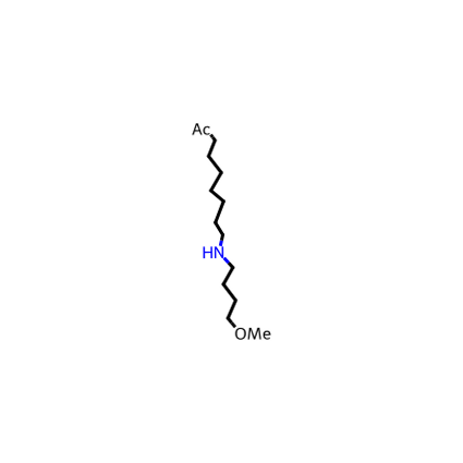 COCCCCNCCCCCCCC(C)=O